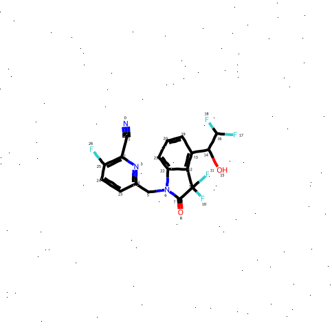 N#Cc1nc(CN2C(=O)C(F)(F)c3c(C(O)C(F)F)cccc32)ccc1F